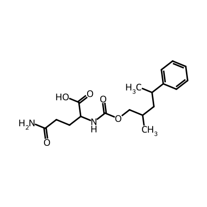 CC(COC(=O)NC(CCC(N)=O)C(=O)O)CC(C)c1ccccc1